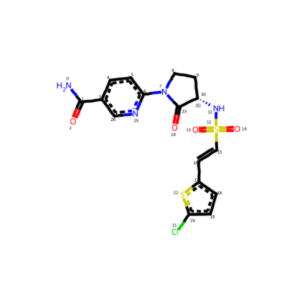 NC(=O)c1ccc(N2CC[C@H](NS(=O)(=O)C=Cc3ccc(Cl)s3)C2=O)nc1